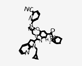 COc1cc(C(=O)N2CC3CCC2[C@@H]3N)cc2nc(-c3cc4cccnc4n3CC3CC3)n(CC3CN(c4cccc(C#N)n4)C3)c12